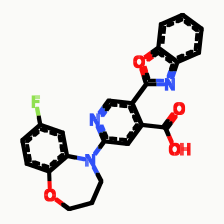 O=C(O)c1cc(N2CCCOc3ccc(F)cc32)ncc1-c1nc2ccccc2o1